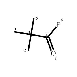 CC(C)(C)C(=O)F